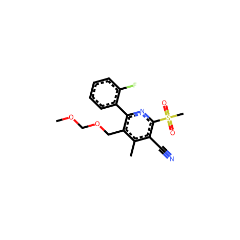 COCOCc1c(-c2ccccc2F)nc(S(C)(=O)=O)c(C#N)c1C